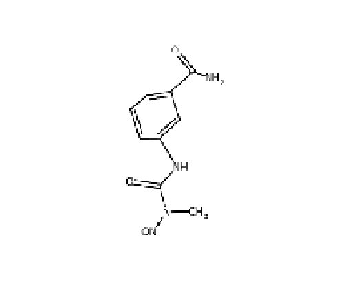 CN(N=O)C(=O)Nc1cccc(C(N)=O)c1